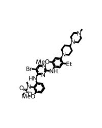 CCc1cc(Nc2ncc(Br)c(Nc3cccc(OC)c3N(C)S(C)(=O)=O)n2)c(OC)cc1N1CCC(N2CCN(C)CC2)CC1